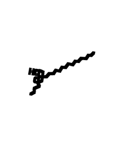 CCCCCCCCCCCCCCCCC(CC)(CCCCCC)C(=O)O